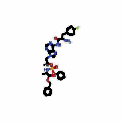 CC(NP(=O)(Oc1ccccc1)O[C@H](C)Cn1cnc2c(NC(=O)C(N)Cc3ccc(F)cc3)ncnc21)C(=O)OCc1ccccc1